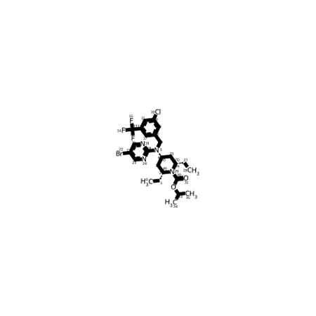 CC[C@@H]1C[C@H](N(Cc2cc(Cl)cc(C(F)(F)F)c2)c2ncc(Br)cn2)C[C@H](CC)N1C(=O)OC(C)C